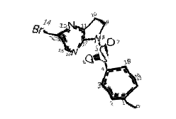 Cc1ccc(S(=O)(=O)N2CCc3nc(Br)cnc32)cc1